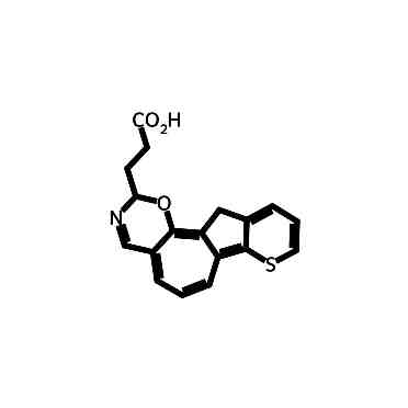 O=C(O)CCC1N=CC2=CC=CC3=C4SC=CC=C4CC3=C2O1